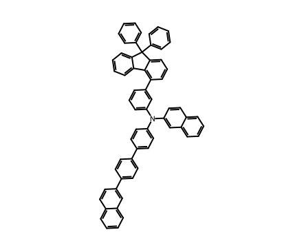 c1ccc(C2(c3ccccc3)c3ccccc3-c3c(-c4cccc(N(c5ccc(-c6ccc(-c7ccc8ccccc8c7)cc6)cc5)c5ccc6ccccc6c5)c4)cccc32)cc1